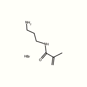 Br.C=C(C)C(=O)NCCCN